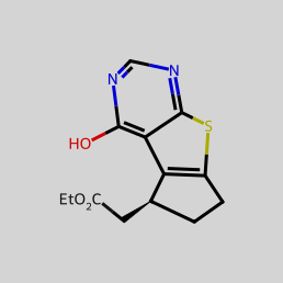 CCOC(=O)C[C@@H]1CCc2sc3ncnc(O)c3c21